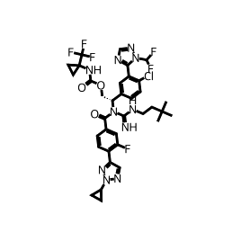 CC(C)(C)CCNC(=N)N(C(=O)c1ccc(-c2cnn(C3CC3)n2)c(F)c1)[C@H](COC(=O)NC1(C(F)(F)F)CC1)c1ccc(Cl)c(-c2ncnn2C(F)F)c1